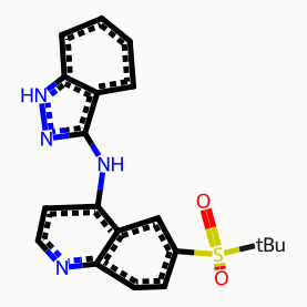 CC(C)(C)S(=O)(=O)c1ccc2nccc(Nc3n[nH]c4ccccc34)c2c1